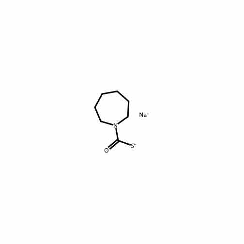 O=C([S-])N1CCCCCC1.[Na+]